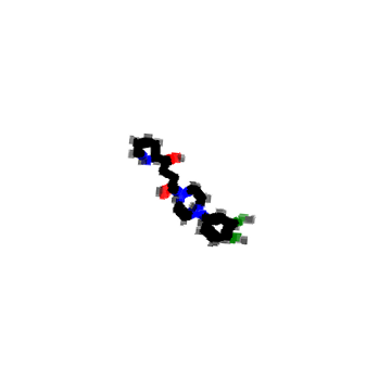 O=C(CCC(=O)N1CCN(c2ccc(F)c(F)c2)CC1)c1ccccn1